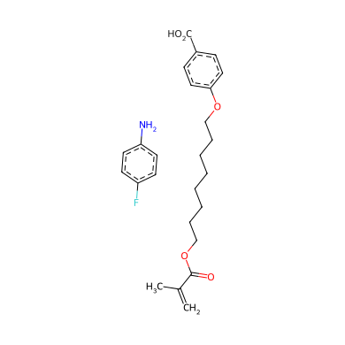 C=C(C)C(=O)OCCCCCCCCOc1ccc(C(=O)O)cc1.Nc1ccc(F)cc1